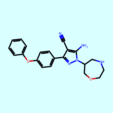 N#Cc1c(-c2ccc(Oc3ccccc3)cc2)nn(C2CNCCOC2)c1N